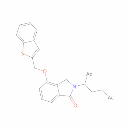 CC(=O)CCC(C(C)=O)N1Cc2c(OCc3cc4ccccc4s3)cccc2C1=O